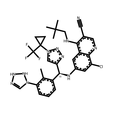 Cc1c([C@H](Nc2cc(Cl)c3ncc(C#N)c(NCC(C)(C)C)c3c2)c2cn(C3(C(F)(F)F)CC3)nn2)cccc1N1C=NNN1